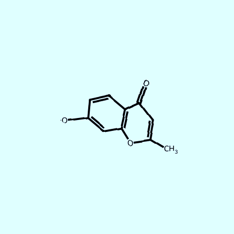 Cc1cc(=O)c2ccc([O])cc2o1